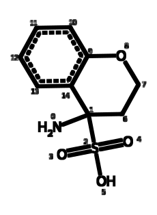 NC1(S(=O)(=O)O)CCOc2ccccc21